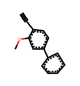 C#Cc1ccc(-c2ccccc2)cc1OC